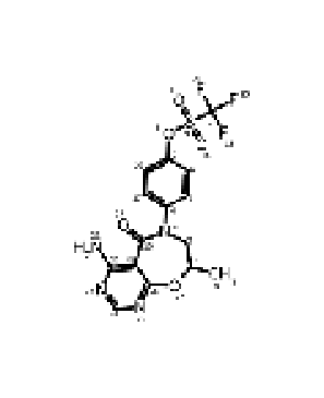 CC1CN(c2ccc(OS(=O)(=O)C(F)(F)F)cc2)C(=O)c2c(N)ncnc2O1